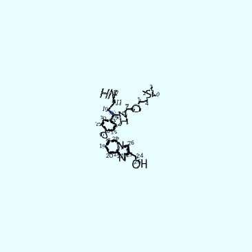 C[Si](C)(C)CCOCN/C(=C\C=N)c1ccc(Oc2ccc3nc(CO)cn3c2)cc1